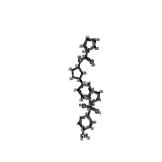 Cc1ccc(S(=O)(=O)n2ccc3cc(C4CCC(OC(=O)n5ccnc5)C4)cnc32)cc1